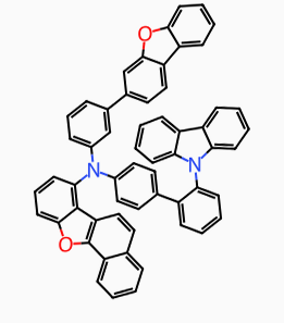 c1cc(-c2ccc3c(c2)oc2ccccc23)cc(N(c2ccc(-c3ccccc3-n3c4ccccc4c4ccccc43)cc2)c2cccc3oc4c5ccccc5ccc4c23)c1